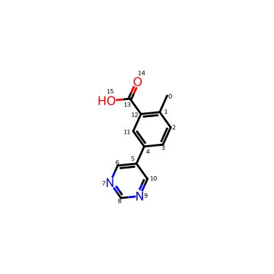 Cc1ccc(-c2cncnc2)cc1C(=O)O